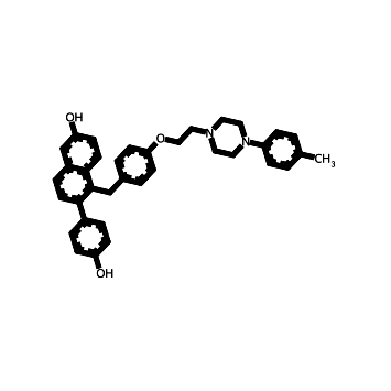 Cc1ccc(N2CCN(CCOc3ccc(Cc4c(-c5ccc(O)cc5)ccc5cc(O)ccc45)cc3)CC2)cc1